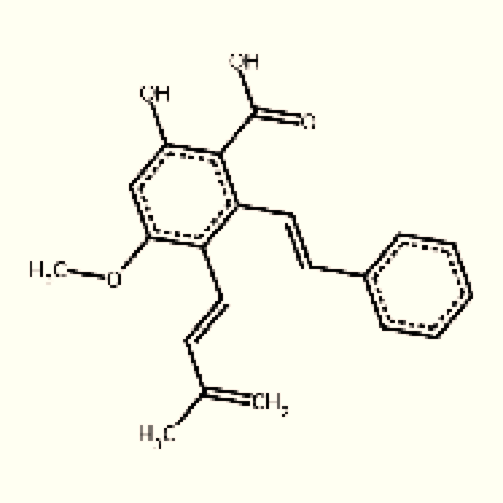 C=C(C)C=Cc1c(OC)cc(O)c(C(=O)O)c1C=Cc1ccccc1